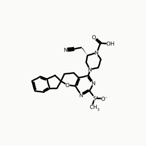 C[S+]([O-])c1nc2c(c(N3CCN(C(=O)O)[C@@H](CC#N)C3)n1)CCC1(Cc3ccccc3C1)O2